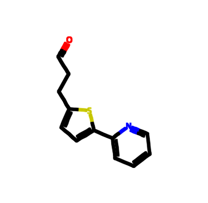 O=CCCc1ccc(-c2ccccn2)s1